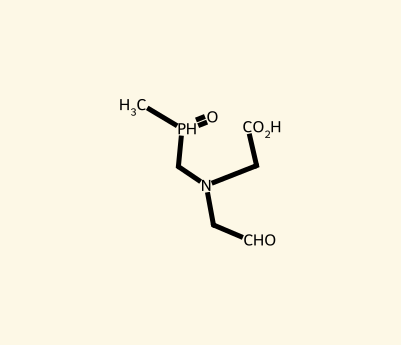 C[PH](=O)CN(CC=O)CC(=O)O